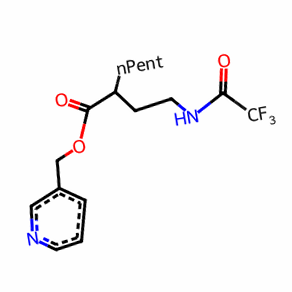 CCCCCC(CCNC(=O)C(F)(F)F)C(=O)OCc1cccnc1